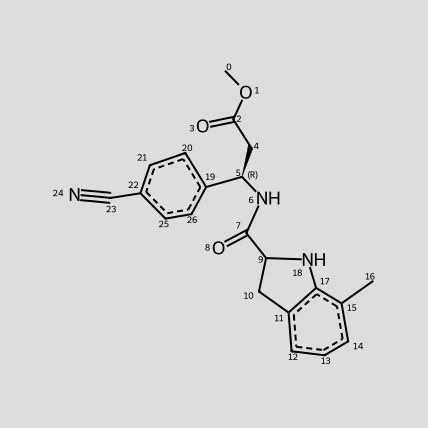 COC(=O)C[C@@H](NC(=O)C1Cc2cccc(C)c2N1)c1ccc(C#N)cc1